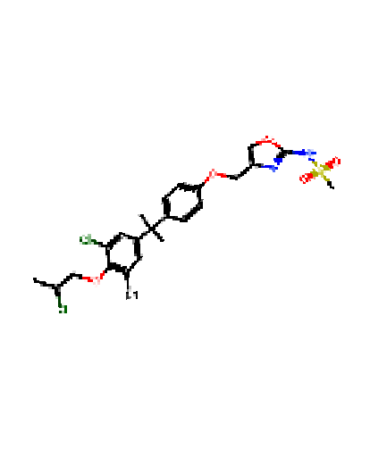 CC(Cl)COc1c(Cl)cc(C(C)(C)c2ccc(OCC3COC(NS(C)(=O)=O)=N3)cc2)cc1C#N